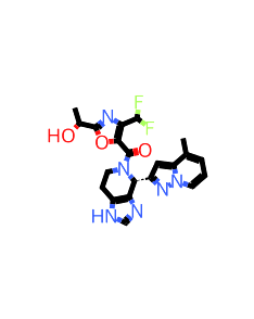 Cc1cccn2nc([C@@H]3c4nc[nH]c4CCN3C(=O)c3oc(C(C)O)nc3C(F)F)cc12